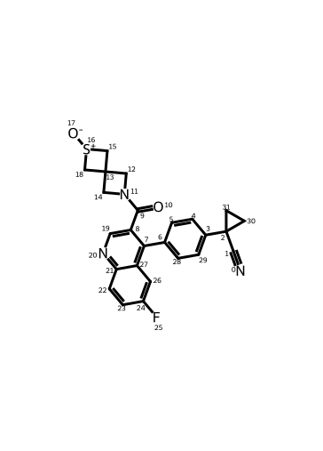 N#CC1(c2ccc(-c3c(C(=O)N4CC5(C4)C[S+]([O-])C5)cnc4ccc(F)cc34)cc2)CC1